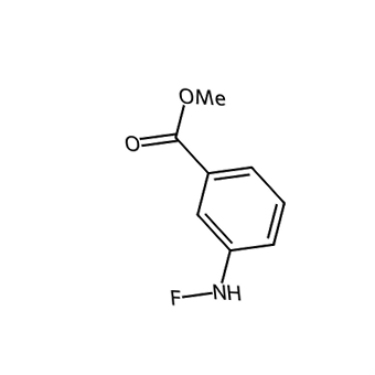 COC(=O)c1cccc(NF)c1